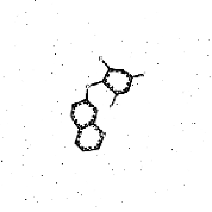 Fc1cc(I)cc(F)c1Oc1ccc2cccnc2c1